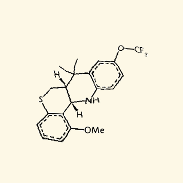 COc1cccc2c1[C@H]1Nc3ccc(OC(F)(F)F)cc3C(C)(C)[C@H]1CS2